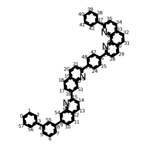 c1ccc(-c2cccc(-c3ccc4ccc(-c5ccc6ccc(-c7ccc(-c8ccc9ccc%10ccc(-c%11ccccc%11)nc%10c9n8)cc7)nc6c5)nc4c3)c2)cc1